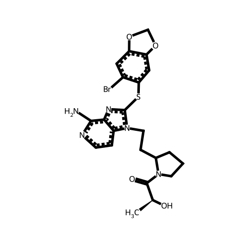 C[C@H](O)C(=O)N1CCCC1CCn1c(Sc2cc3c(cc2Br)OCO3)nc2c(N)nccc21